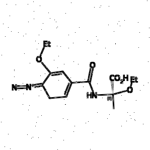 CCOC1=CC(C(=O)N[C@](C)(OCC)C(=O)O)=CCC1=[N+]=[N-]